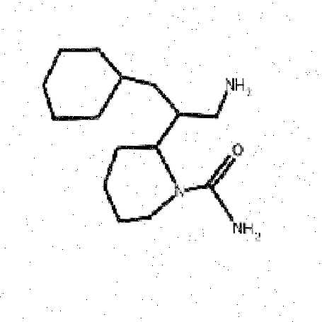 NCC(CC1CCCCC1)C1CCCCN1C(N)=O